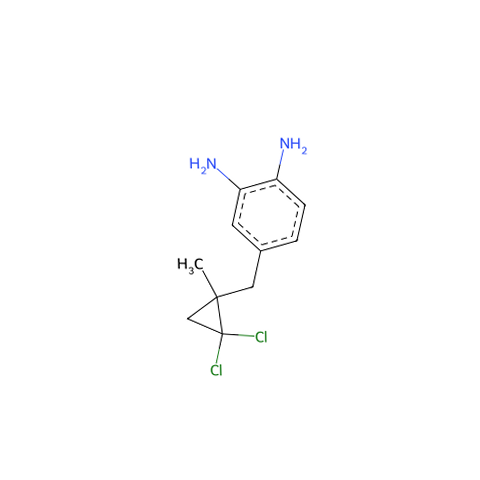 CC1(Cc2ccc(N)c(N)c2)CC1(Cl)Cl